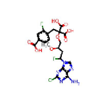 COC(COC(Cc1ccc(C(=O)O)cc1F)(C(=O)O)C(=O)O)CC(F)n1cnc2c(N)nc(Cl)nc21